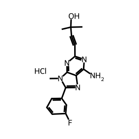 Cl.Cn1c(-c2cccc(F)c2)nc2c(N)nc(C#CC(C)(C)O)nc21